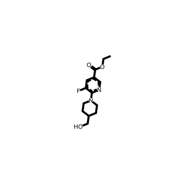 CCOC(=O)c1cnc(N2CCC(CO)CC2)c(F)c1